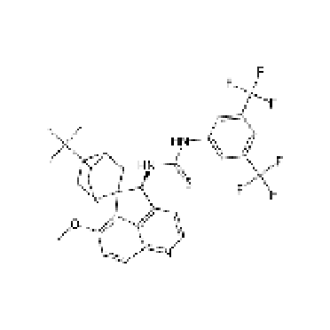 COc1ccc2nccc3c2c1C1(CC2CCN1CC2C(C)(C)C)[C@H]3NC(=S)Nc1cc(C(F)(F)F)cc(C(F)(F)F)c1